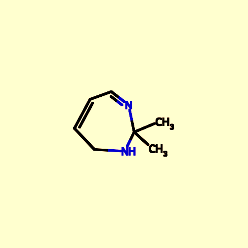 CC1(C)N=CC=CCN1